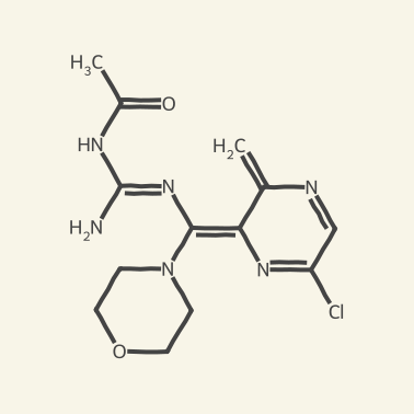 C=c1ncc(Cl)n/c1=C(/N=C(\N)NC(C)=O)N1CCOCC1